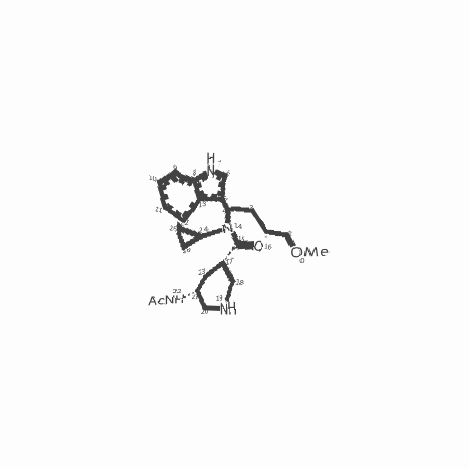 COCCCC(c1c[nH]c2ccccc12)N(C(=O)[C@@H]1CNC[C@H](NC(C)=O)C1)C1CC1